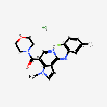 Cl.Cn1ccc2c(Nc3cc(C(F)(F)F)ccc3F)ncc(C(=O)N3CCOCC3)c21